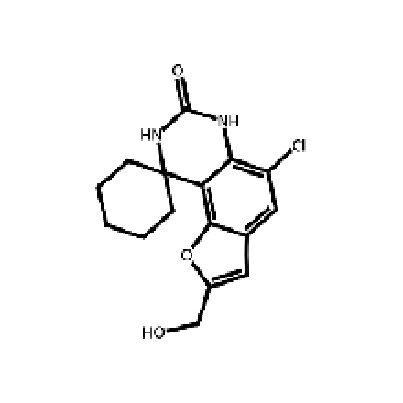 O=C1Nc2c(Cl)cc3cc(CO)oc3c2C2(CCCCC2)N1